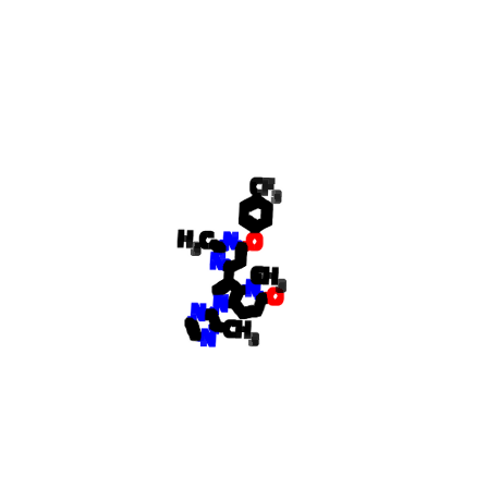 Cc1nc(Oc2ccc(C(F)(F)F)cc2)cc(-c2cn(-c3nccnc3C)c3ccc(=O)n(C)c23)n1